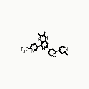 Cc1cc([C@@H]2C[C@@H](c3cc4nc(C)c(C)nc4c(-c4ccc(C(F)(F)F)nc4)n3)CCO2)ccn1